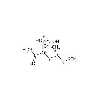 C=C.CCCCOC(C)=O.O=C(O)O